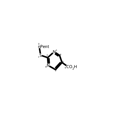 CCCCCSc1ncc(C(=O)O)cn1